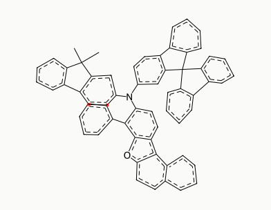 CC1(C)c2ccccc2-c2ccc(N(c3ccc4c(c3)C3(c5ccccc5-c5ccccc53)c3ccccc3-4)c3ccc4c(oc5ccc6ccccc6c54)c3-c3ccccc3)cc21